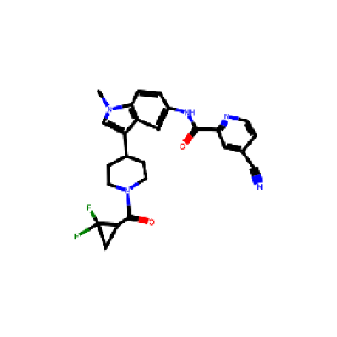 Cn1cc(C2CCN(C(=O)C3CC3(F)F)CC2)c2cc(NC(=O)c3cc(C#N)ccn3)ccc21